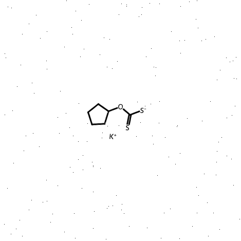 S=C([S-])OC1CCCC1.[K+]